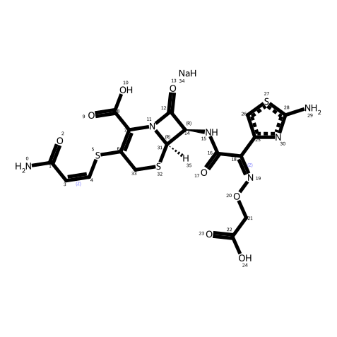 NC(=O)/C=C\SC1=C(C(=O)O)N2C(=O)[C@@H](NC(=O)/C(=N\OCC(=O)O)c3csc(N)n3)[C@H]2SC1.[NaH]